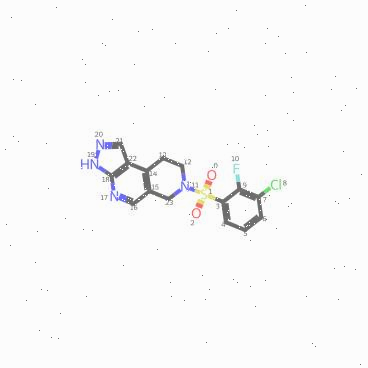 O=S(=O)(c1cccc(Cl)c1F)N1CCc2c(cnc3[nH]ncc23)C1